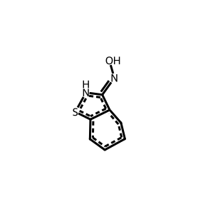 ON=c1[nH]sc2ccccc12